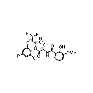 CCC(CC)[C@@H](Oc1cc(F)cc(Cl)c1)[C@H](C)OC(=O)[C@H](C)NC(=O)c1nccc(OC)c1O